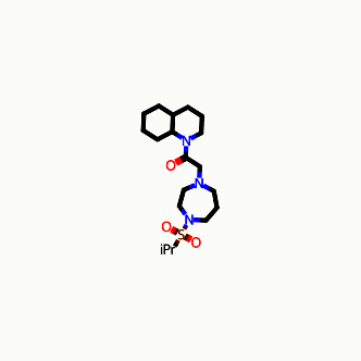 CC(C)S(=O)(=O)N1CCCN(CC(=O)N2CCCC3CCCCC32)CC1